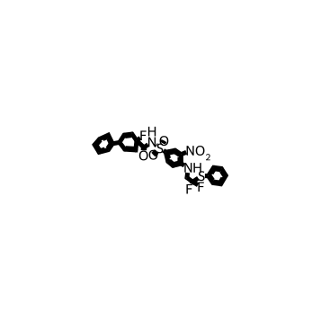 O=C(NS(=O)(=O)c1ccc(NCC(F)(F)Sc2ccccc2)c([N+](=O)[O-])c1)C1(F)C=CC(c2ccccc2)C=C1